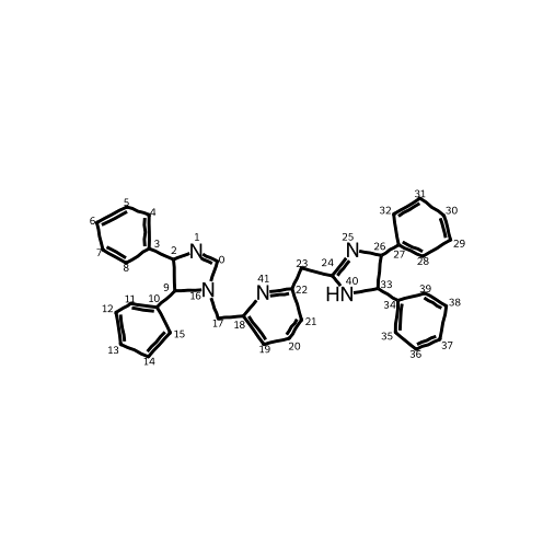 C1=NC(c2ccccc2)C(c2ccccc2)N1Cc1cccc(CC2=NC(c3ccccc3)C(c3ccccc3)N2)n1